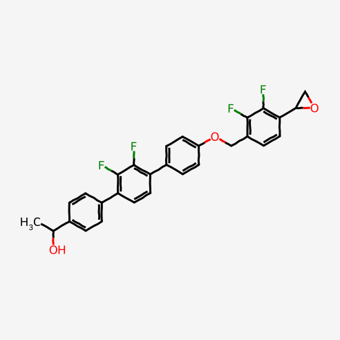 CC(O)c1ccc(-c2ccc(-c3ccc(OCc4ccc(C5CO5)c(F)c4F)cc3)c(F)c2F)cc1